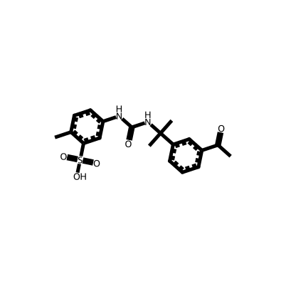 CC(=O)c1cccc(C(C)(C)NC(=O)Nc2ccc(C)c(S(=O)(=O)O)c2)c1